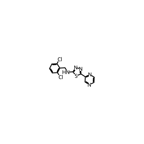 Clc1cccc(Cl)c1CNc1nnc(-c2cnccn2)s1